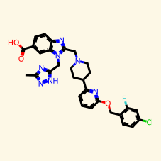 Cc1n[nH]c(Cn2c(CN3CCC(c4cccc(OCc5ccc(Cl)cc5F)n4)CC3)nc3ccc(C(=O)O)cc32)n1